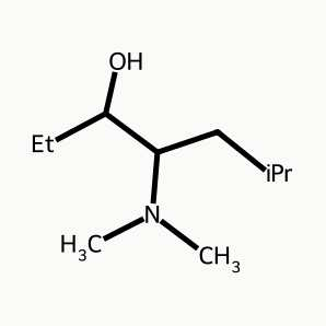 CCC(O)C(CC(C)C)N(C)C